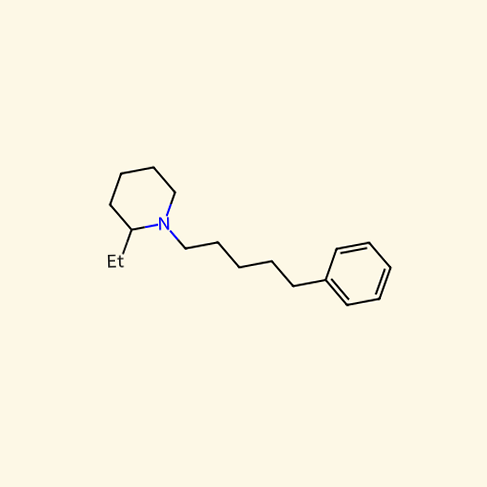 CCC1CCCCN1CCCCCc1ccccc1